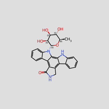 C[C@H]1O[C@H](n2c3ccccc3c3c4c(c5c6ccccc6[nH]c5c32)CNC4=O)[C@@H](O)[C@@H](O)[C@@H]1O